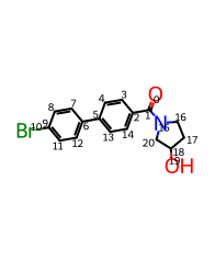 O=C(c1ccc(-c2ccc(Br)cc2)cc1)N1CCC(O)C1